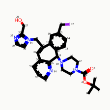 CC(C)(C)OC(=O)N1CCN(C2c3ccc(CI)cc3C(Cn3ccnc3CO)=Cc3cccnc32)CC1